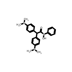 CN(C)c1ccc(C(C(=O)N(O)c2ccccc2)c2ccc(N(C)C)cc2)cc1